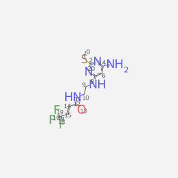 CSc1nc(N)cc(NCCNC(=O)C=CC(F)(F)F)n1